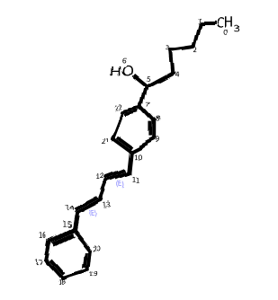 CCCCCC(O)c1ccc(/C=C/C=C/c2ccccc2)cc1